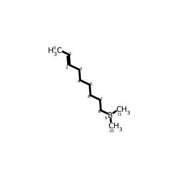 CC=CCCCCCCB(C)C